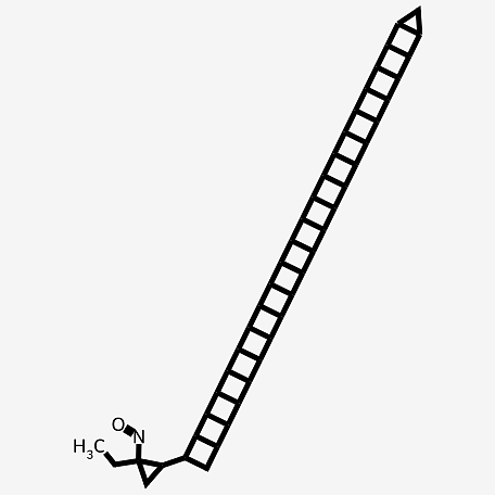 CCC1(N=O)CC1C1CC2C1C1C2C2C1C1C2C2C1C1C2C2C1C1C2C2C1C1C3C4C5C6C7C8C9C%10C%11C%12CC%12C%11C%10C9C8C7C6C5C4C3C21